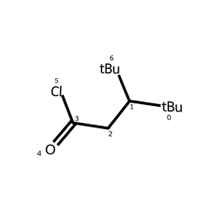 CC(C)(C)C(CC(=O)Cl)C(C)(C)C